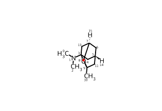 CN(C)C12C[C@@H]3C[C@@H](CC(C)(C3)O1)C2